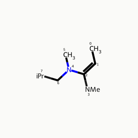 CC=C(NC)N(C)CC(C)C